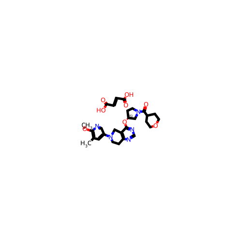 COc1ncc(N2CCc3ncnc(O[C@H]4CCN(C(=O)C5CCOCC5)C4)c3C2)cc1C.O=C(O)C=CC(=O)O